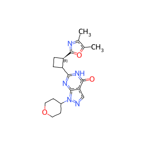 Cc1nc([C@@H]2CCC2c2nc3c(cnn3C3CCOCC3)c(=O)[nH]2)oc1C